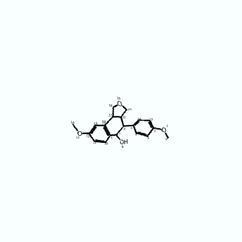 COc1ccc(C2C(O)c3ccc(OC)cc3C3COCC32)cc1